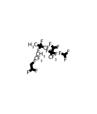 CC(F)(F)C(F)(F)F.CC(F)(F)F.FC(F)C(F)(F)C(F)(F)F.FC(F)F.FCC(F)F